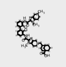 CN1CCc2c(nc(C(=O)Nc3cccc(-c4cccc(NC(=O)c5nc6c(n5C)CCN(CC5CCC7(C(=O)O)CCCC5C7)C6)c4Cl)c3Cl)n2C)C1